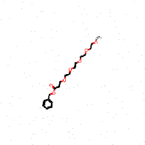 CCCOCCOCCOCCOCCOCCC(=O)OCc1ccccc1